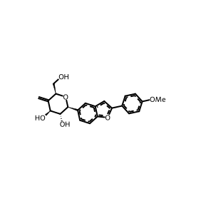 C=C1[C@@H](CO)O[C@@H](c2ccc3oc(-c4ccc(OC)cc4)cc3c2)[C@H](O)[C@H]1O